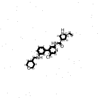 O=C(Nc1cc(-c2cccc(NCC3CCOCC3)c2)c(Cl)cn1)[C@H]1CN[C@@H](CF)C1